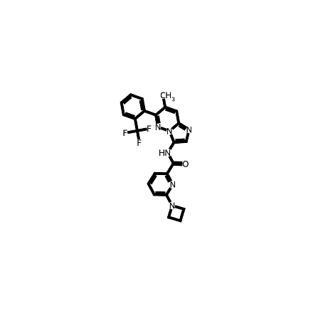 Cc1cc2ncc(NC(=O)c3cccc(N4CCC4)n3)n2nc1-c1ccccc1C(F)(F)F